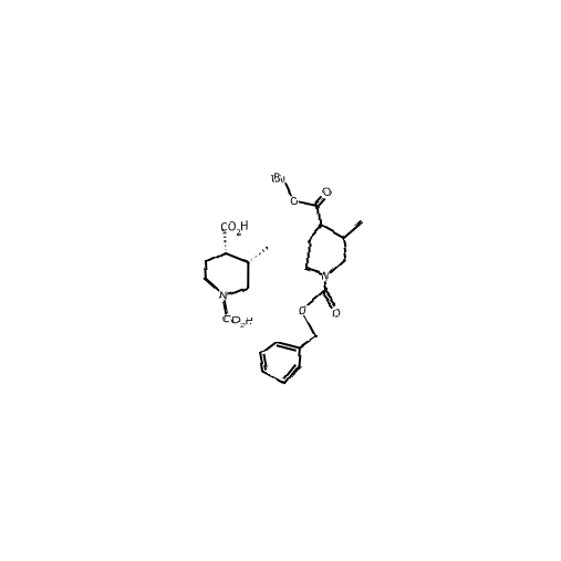 CC1CN(C(=O)OCc2ccccc2)CCC1C(=O)OC(C)(C)C.C[C@@H]1CN(C(=O)O)CC[C@@H]1C(=O)O